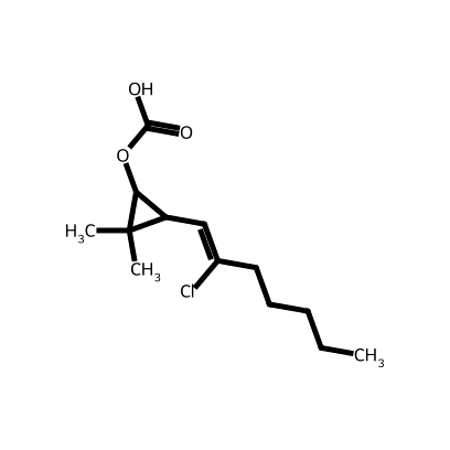 CCCCCC(Cl)=CC1C(OC(=O)O)C1(C)C